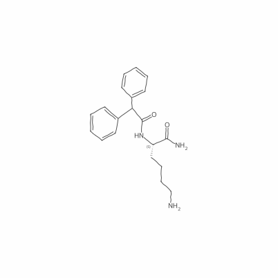 NCCCC[C@H](NC(=O)C(c1ccccc1)c1ccccc1)C(N)=O